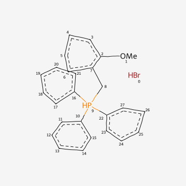 Br.COc1ccccc1C[PH](c1ccccc1)(c1ccccc1)c1ccccc1